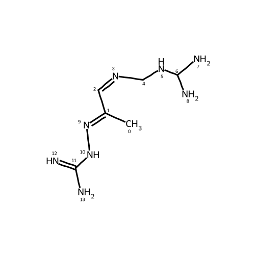 CC(/C=N\CNC(N)N)=N\NC(=N)N